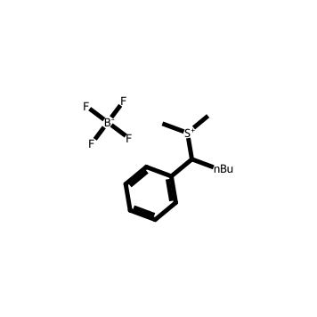 CCCCC(c1ccccc1)[S+](C)C.F[B-](F)(F)F